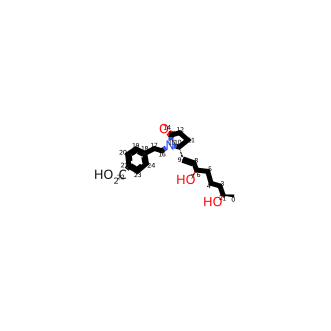 C[C@@H](O)CCC[C@H](O)C=C[C@H]1CCC(=O)N1CCc1ccc(C(=O)O)cc1